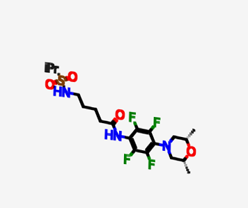 CC(C)S(=O)(=O)NCCCCC(=O)Nc1c(F)c(F)c(N2C[C@@H](C)O[C@@H](C)C2)c(F)c1F